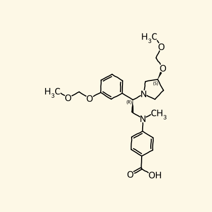 COCOc1cccc([C@H](CN(C)c2ccc(C(=O)O)cc2)N2CC[C@H](OCOC)C2)c1